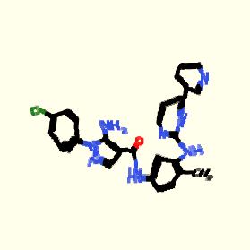 Cc1ccc(NC(=O)c2cnn(-c3ccc(Cl)cc3)c2N)cc1Nc1nccc(-c2cccnc2)n1